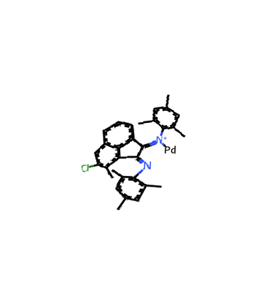 Cc1cc(C)c(N=C2C(=[N+]([Pd])c3c(C)cc(C)cc3C)c3cccc4cc(Cl)c(C)c2c34)c(C)c1